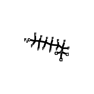 FC(F)(F)C(F)(F)C(F)(F)C(F)(F)C(F)(F)C(F)(F)C(F)(F)[Si](Cl)(Cl)Cl